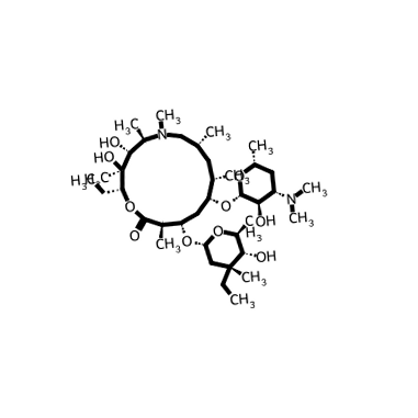 CC[C@H]1OC(=O)[C@H](C)[C@@H](O[C@H]2C[C@@](C)(CC)[C@@H](O)[C@H](C)O2)C[C@@H](O[C@@H]2O[C@H](C)C[C@H](N(C)C)[C@H]2O)[C@@H](C)C[C@@H](C)CN(C)[C@H](C)[C@@H](O)[C@]1(C)O